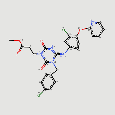 COC(=O)CCn1c(=O)[nH]/c(=N\c2ccc(Oc3ccccn3)c(Cl)c2)n(Cc2ccc(Cl)cc2)c1=O